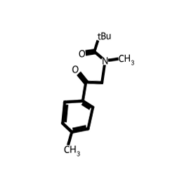 Cc1ccc(C(=O)CN(C)C(=O)C(C)(C)C)cc1